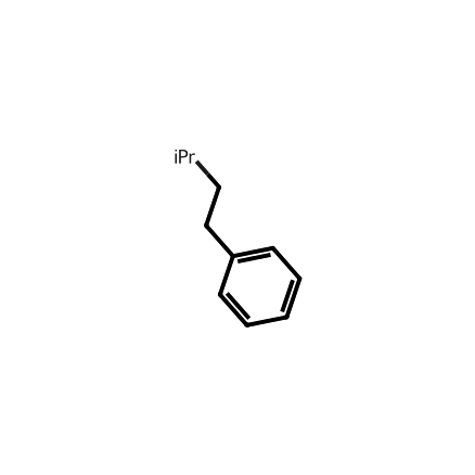 [CH2]C(C)CCc1ccccc1